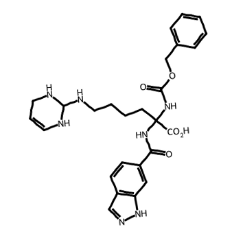 O=C(NC(CCCCNC1NC=CCN1)(NC(=O)c1ccc2cn[nH]c2c1)C(=O)O)OCc1ccccc1